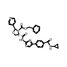 O=C(NC1CC1)c1ccc(-c2csc(NC(=O)[C@@H]3COC(c4ccncc4)N3C(=O)OCc3ccccc3)n2)cc1